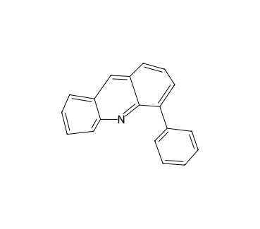 c1ccc(-c2cccc3cc4ccccc4nc23)cc1